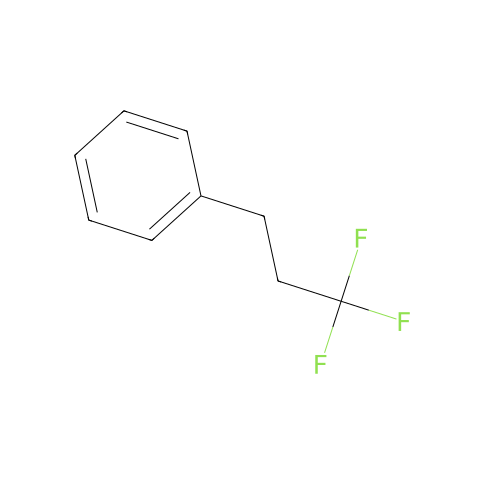 FC(F)(F)CCc1ccccc1